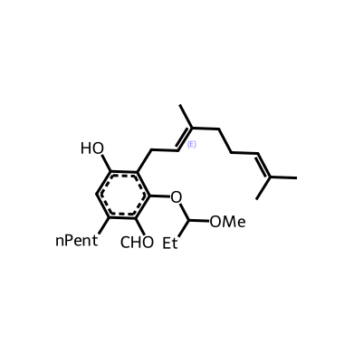 CCCCCc1cc(O)c(C/C=C(\C)CCC=C(C)C)c(OC(CC)OC)c1C=O